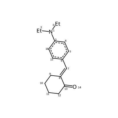 CCN(CC)c1ccc(C=C2CCCCC2=O)cc1